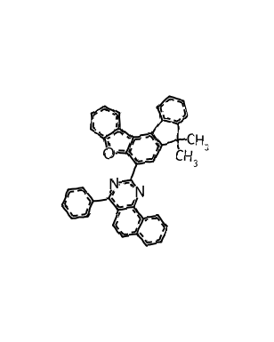 CC1(C)c2ccccc2-c2c1cc(-c1nc(-c3ccccc3)c3ccc4ccccc4c3n1)c1oc3ccccc3c21